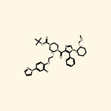 COC[C@@H]1CCCC[C@H]1n1cnc(C(=O)N2CCN(C(=O)OC(C)(C)C)C[C@H]2CCOc2ccc(-n3cccn3)cc2F)c1-c1ccccc1